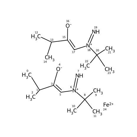 CC(C)C([O-])=C[N+](=N)C(C)(C)C.CC(C)C([O-])=C[N+](=N)C(C)(C)C.[Fe+2]